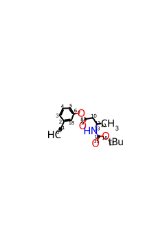 C#Cc1cccc(OC(=O)CC(C)NC(=O)OC(C)(C)C)c1